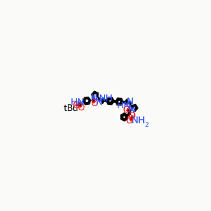 CC(C)(C)OC(=O)N[C@H]1CC[C@@H](C(=O)N2CCC[C@H]2c2ncc(-c3ccc(-c4ccc(-c5cnc([C@@H]6CCCN6C(=O)[C@H](OC(N)=O)c6ccccc6)[nH]5)cc4)cc3)[nH]2)CC1